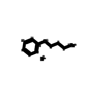 [Br-].[Zn+][CH2]CCOc1ccccc1